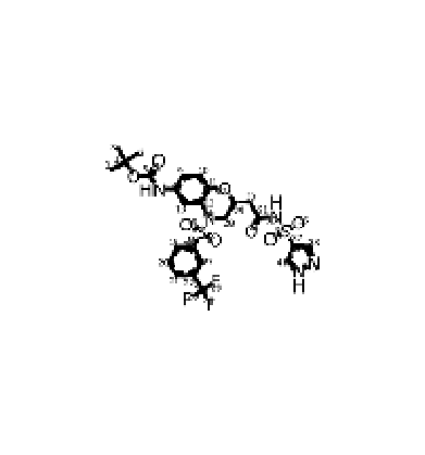 CC(C)(C)OC(=O)Nc1ccc2c(c1)N(S(=O)(=O)c1cccc(C(F)(F)F)c1)C[C@H](CC(=O)NS(=O)(=O)c1cn[nH]c1)O2